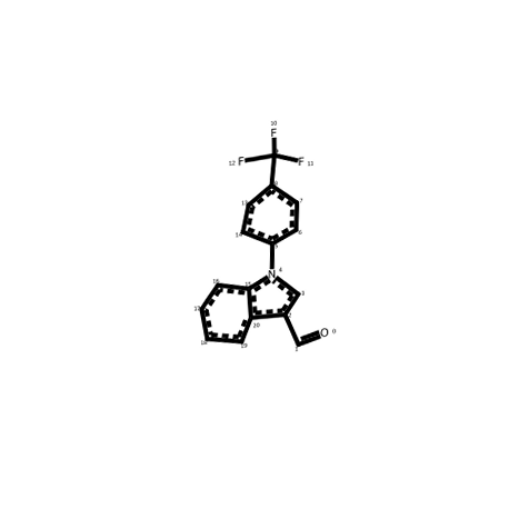 O=Cc1cn(-c2ccc(C(F)(F)F)cc2)c2ccccc12